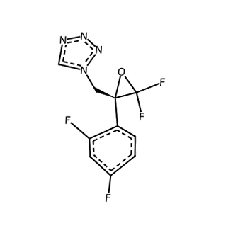 Fc1ccc([C@]2(Cn3cnnn3)OC2(F)F)c(F)c1